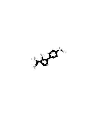 COc1ccc(-c2scc(C(C)=N)c2O)cc1